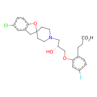 O=C(O)CCc1ccc(F)cc1OC[C@H](O)CN1CCC2(CC1)Cc1cc(Cl)ccc1O2